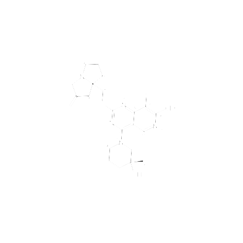 C=C1CN2CCCC2(COc2nc(N3CCC[C@@](C)(O)C3)c3cnc(Cl)c(F)c3n2)C1